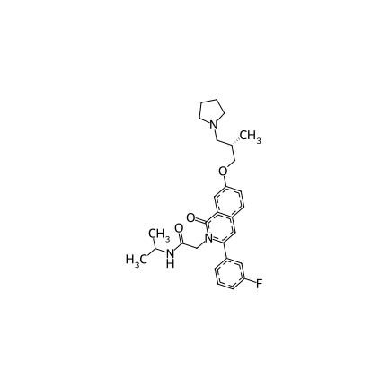 CC(C)NC(=O)Cn1c(-c2cccc(F)c2)cc2ccc(OC[C@@H](C)CN3CCCC3)cc2c1=O